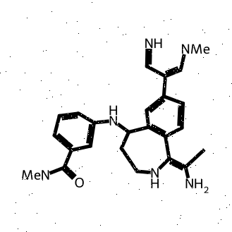 CN/C=C(\C=N)c1ccc2c(c1)C(Nc1cccc(C(=O)NC)c1)CCN/C2=C(/C)N